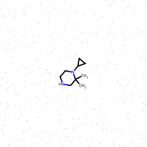 CC1(C)CNCCN1C1CC1